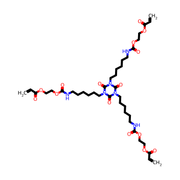 C=CC(=O)OCCOC(=O)NCCCCCCn1c(=O)n(CCCCCCNC(=O)OCCOC(=O)C=C)c(=O)n(CCCCCCNC(=O)OCCOC(=O)C=C)c1=O